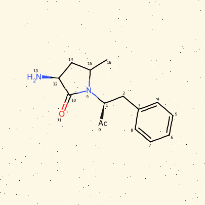 CC(=O)[C@H](Cc1ccccc1)N1C(=O)[C@@H](N)CC1C